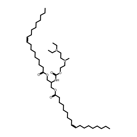 CCCCCCCC/C=C\CCCCCCCC(=O)OCC(COC(=O)CCCCCCC/C=C\CCCCCCCC)NC(=O)OCCN(C)CCN(CC)CC